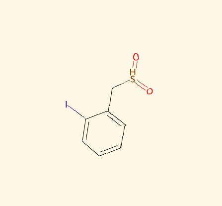 O=[SH](=O)Cc1ccccc1I